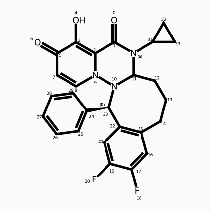 O=C1c2c(O)c(=O)ccn2N2C(CCCc3cc(F)c(F)cc3[C@H]2c2ccccc2)N1C1CC1